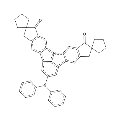 O=C1c2cc3c(cc2CC12CCCC2)c1cc(N(c2ccccc2)c2ccccc2)cc2c4cc5c(cc4n3c12)C(=O)C1(CCCC1)C5